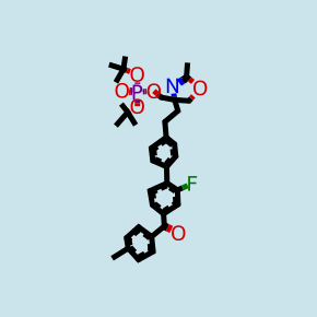 CC1=NC(CCc2ccc(-c3ccc(C(=O)c4ccc(C)cc4)cc3F)cc2)(COP(=O)(OC(C)(C)C)OC(C)(C)C)CO1